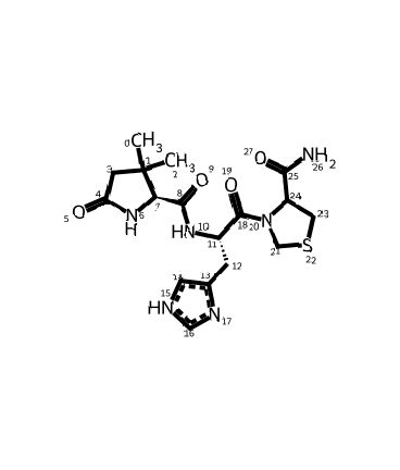 CC1(C)CC(=O)N[C@@H]1C(=O)N[C@@H](Cc1c[nH]cn1)C(=O)N1CSCC1C(N)=O